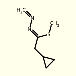 C=N/N=C(/CC1CC1)SC